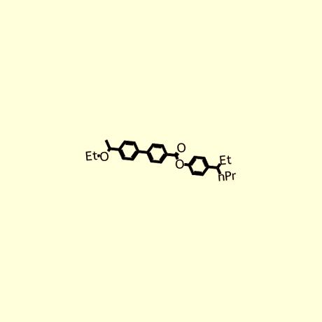 CCCC(CC)c1ccc(OC(=O)c2ccc(-c3ccc(C(C)OCC)cc3)cc2)cc1